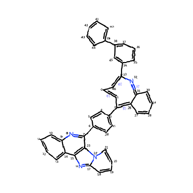 C1=C/C(c2ccc(-c3nc4ccccc4c4nc5ccccn5c34)cc2)=c2/cccc/c2=N/C(c2cccc(-c3ccccc3)c2)=C/1